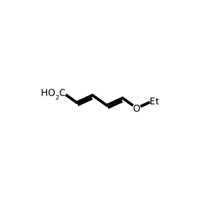 CCOC=CC=CC(=O)O